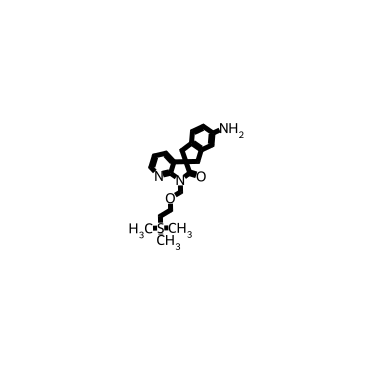 CS(C)(C)CCOCN1C(=O)C2(Cc3ccc(N)cc3C2)c2cccnc21